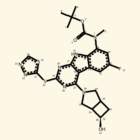 CN(C(=O)OC(C)(C)C)c1cc(F)cc2c1[nH]c1nc(Sc3nncs3)nc(N3CC4C[C@@H](O)C4C3)c12